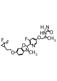 C[C@@H](COc1cnc(C2Oc3cc(OCCC4CC4(F)F)ccc3N2C)c(F)c1)NC(N)=O